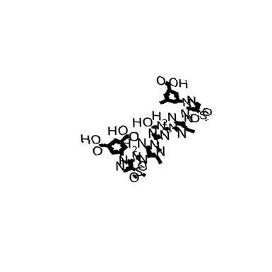 Cc1cc(C(=O)O)cc(-n2ncc(S(C)(=O)=O)c2N=Nc2c(C)nn(-c3nc(O)nc(-n4nc(C)c(N=Nc5c(S(C)(=O)=O)cnn5-c5cc(C(=O)O)cc(C(=O)O)c5)c4N)n3)c2N)c1